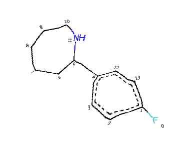 Fc1ccc(C2CCCCCN2)cc1